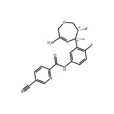 C[C@]1(c2cc(NC(=O)c3ccc(C#N)cn3)ccc2F)N=C(N)COC[C@@H]1F